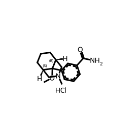 COC1(c2cccc(C(N)=O)c2)[C@@H]2CCC[C@H]1CN(C)C2.Cl